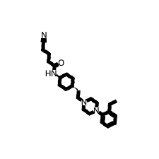 CCc1ccccc1N1CCN(CC[C@H]2CC[C@H](NC(=O)CCCC#N)CC2)CC1